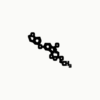 CCOC(=O)CN1C(=O)c2ccc(Oc3ccc4c(c3)CCO4)cc2C1=O